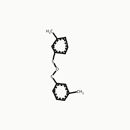 Cc1cccc(SOSc2cccc(C)c2)c1